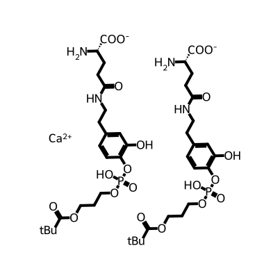 CC(C)(C)C(=O)OCCCOP(=O)(O)Oc1ccc(CCNC(=O)CC[C@H](N)C(=O)[O-])cc1O.CC(C)(C)C(=O)OCCCOP(=O)(O)Oc1ccc(CCNC(=O)CC[C@H](N)C(=O)[O-])cc1O.[Ca+2]